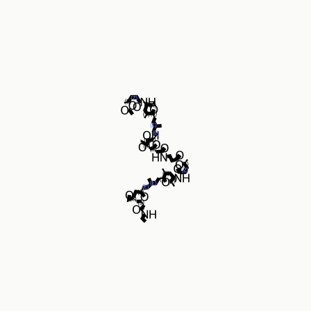 CCNC(=O)C[C@@H]1C[C@@]2(CO2)C[C@@H](/C=C/C(C)=C/C[C@@H]2O[C@H](C)[C@H](NC(=O)/C=C\[C@H](C)OC(=O)CCNC(=O)C[C@@H]3C[C@@]4(CO4)[C@H](O)[C@@H](/C=C/C(C)=C/C[C@@H]4O[C@H](C)[C@H](NC(=O)/C=C\[C@H](C)OC(C)=O)C[C@@H]4C)O3)C[C@@H]2C)O1